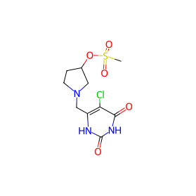 CS(=O)(=O)OC1CCN(Cc2[nH]c(=O)[nH]c(=O)c2Cl)C1